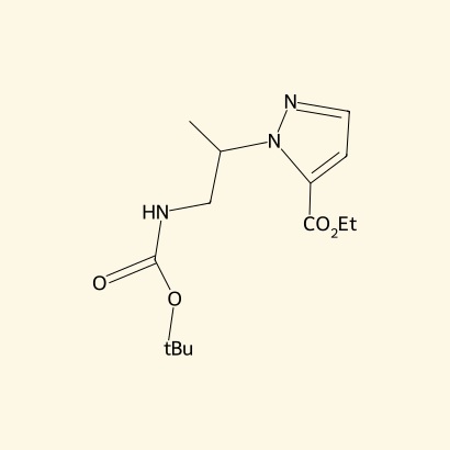 CCOC(=O)c1ccnn1C(C)CNC(=O)OC(C)(C)C